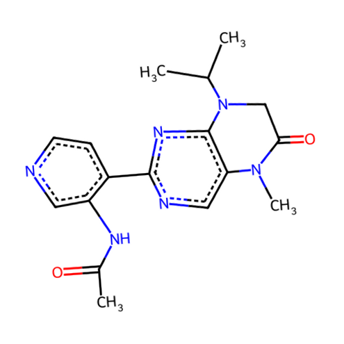 CC(=O)Nc1cnccc1-c1ncc2c(n1)N(C(C)C)CC(=O)N2C